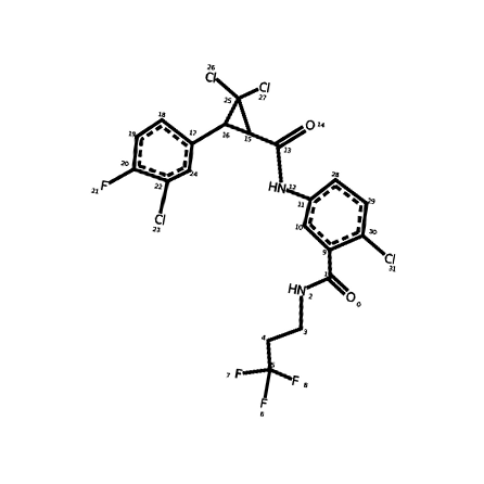 O=C(NCCC(F)(F)F)c1cc(NC(=O)C2C(c3ccc(F)c(Cl)c3)C2(Cl)Cl)ccc1Cl